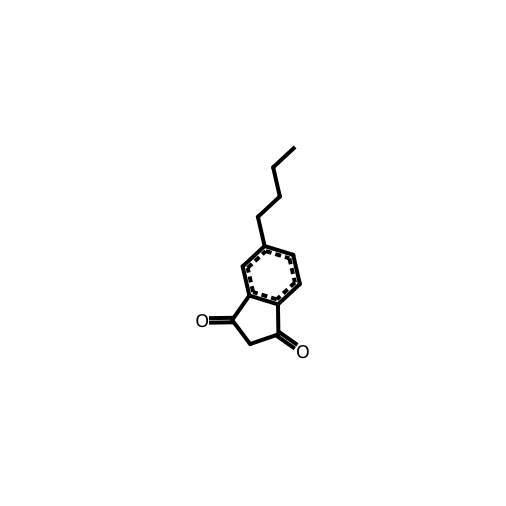 CCCCc1ccc2c(c1)C(=O)CC2=O